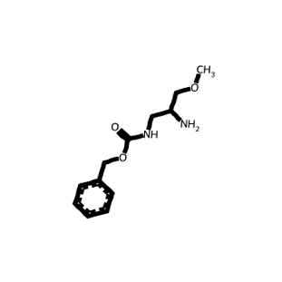 COCC(N)CNC(=O)OCc1ccccc1